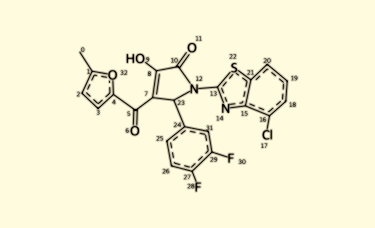 Cc1ccc(C(=O)C2=C(O)C(=O)N(c3nc4c(Cl)cccc4s3)C2c2ccc(F)c(F)c2)o1